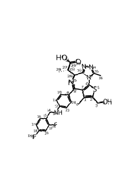 Cc1c(CO)sc2c1C(c1ccc(NCc3ccc(F)cc3F)cc1)=NC([C@H](C)C(=O)O)c1nnc(C)n1-2